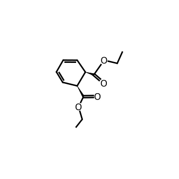 CCOC(=O)[C@H]1C=CC=C[C@H]1C(=O)OCC